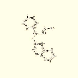 ISN[C@H](Cc1ccc2ccccc2n1)c1ccccc1